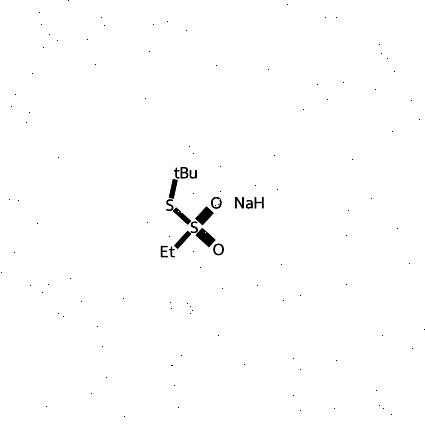 CCS(=O)(=O)SC(C)(C)C.[NaH]